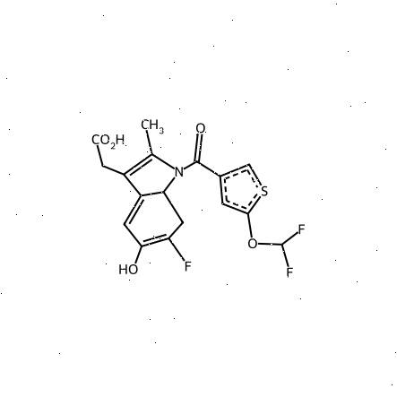 CC1=C(CC(=O)O)C2=CC(O)=C(F)CC2N1C(=O)c1csc(OC(F)F)c1